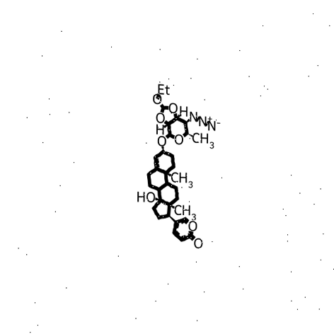 CCOC1O[C@@H]2[C@@H](N=[N+]=[N-])[C@H](C)OC(O[C@@H]3C=C4CCC5C(CC[C@]6(C)[C@@H](c7ccc(=O)oc7)CC[C@]56O)[C@@]4(C)CC3)[C@@H]2O1